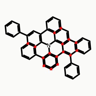 c1ccc(-c2ccc(N(c3c(-c4ccccc4)cccc3-c3ccccc3)c3cccc4c3c(-c3ccccc3)c(-c3ccccc3)c3ccccc34)c(-c3ccccc3)c2)cc1